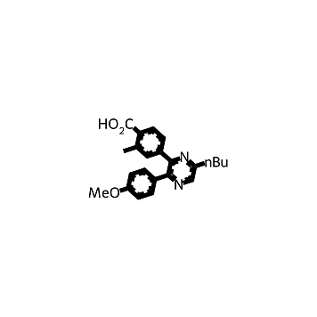 CCCCc1cnc(-c2ccc(OC)cc2)c(-c2ccc(C(=O)O)c(C)c2)n1